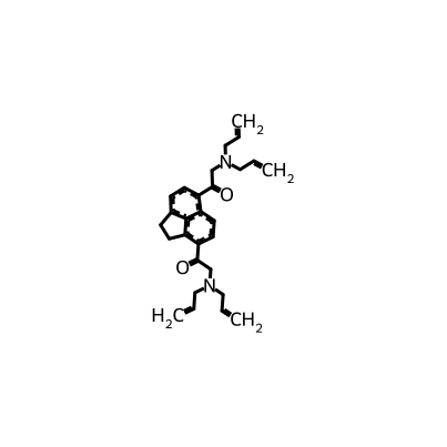 C=CCN(CC=C)CC(=O)c1ccc2c(C(=O)CN(CC=C)CC=C)ccc3c2c1CC3